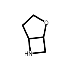 C1CC2NCC2O1